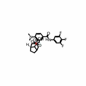 CN(C)c1ccc(C(=O)Nc2cc(F)c(F)c(F)c2)cc1S(=O)(=O)C1C2CC[C@H]1C[C@](O)(CO)C2